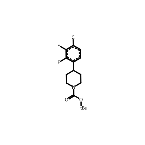 CC(C)(C)OC(=O)N1CCC(c2ccc(Cl)c(F)c2F)CC1